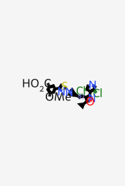 COc1cc(C(=O)O)cc(-c2csc(N3CC4C(/C=C/c5c(-c6c(Cl)cncc6Cl)noc5C5CC5)C4C3)n2)c1